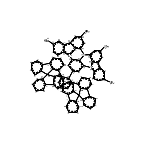 CC(C)(C)c1ccc2c(c1)c1cc(C(C)(C)C)cc3c1n2-c1cc(-c2c(-c4cccc5c4C4(c6ccccc6-c6ccccc64)c4ccccc4-5)cccc2-c2cccc4c2C2(c5ccccc5-c5ccccc52)c2ccccc2-4)cc2c1B3c1cc(C(C)(C)C)cc3c4cc(C(C)(C)C)ccc4n-2c13